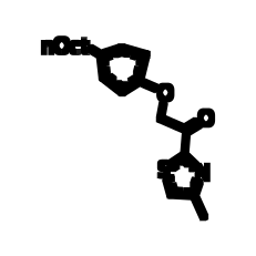 CCCCCCCCc1ccc(OCC(=O)c2nc(C)cs2)cc1